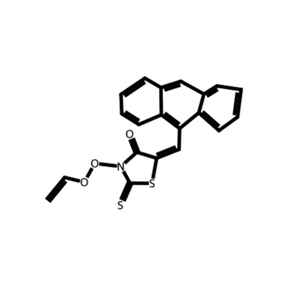 C=COON1C(=O)/C(=C\c2c3ccccc3cc3ccccc23)SC1=S